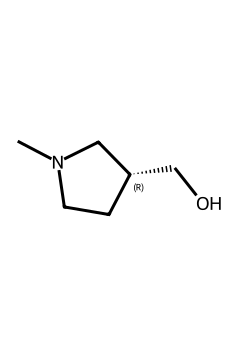 CN1CC[C@@H](CO)C1